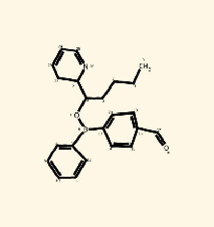 CCCCC(OB(c1ccccc1)c1ccc(C=O)cc1)C1CC=CC=N1